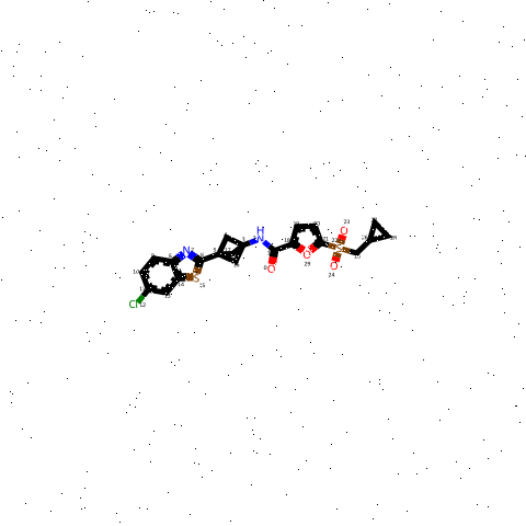 O=C(NC12CC(c3nc4ccc(Cl)cc4s3)(C1)C2)c1ccc(S(=O)(=O)CC2CC2)o1